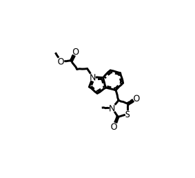 COC(=O)CCn1ccc2c(C3C(=O)SC(=O)N3C)cccc21